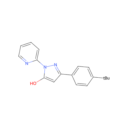 CC(C)(C)c1ccc(-c2cc(O)n(-c3ccccn3)n2)cc1